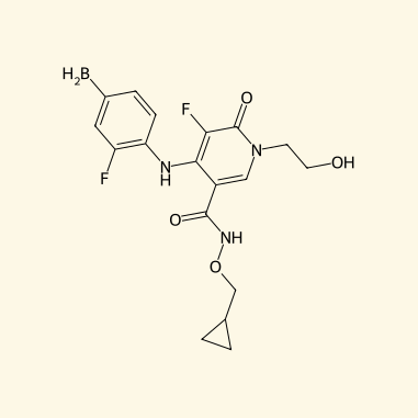 Bc1ccc(Nc2c(C(=O)NOCC3CC3)cn(CCO)c(=O)c2F)c(F)c1